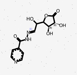 O=C(N/N=C/C(O)C1OC(=O)[C@H](O)[C@H]1O)c1ccncc1